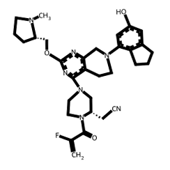 C=C(F)C(=O)N1CCN(c2nc(OC[C@@H]3CCCN3C)nc3c2CCN(c2cc(O)cc4c2CCC4)C3)C[C@@H]1CC#N